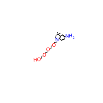 CC1(C)CCN(CCOCCOCCOCCO)c2ccc(N)cc21